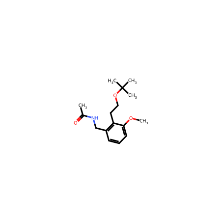 COc1cccc(CNC(C)=O)c1CCOC(C)(C)C